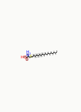 CCCCCCCCCCCCCCCCCCSCC(N)C(=O)O